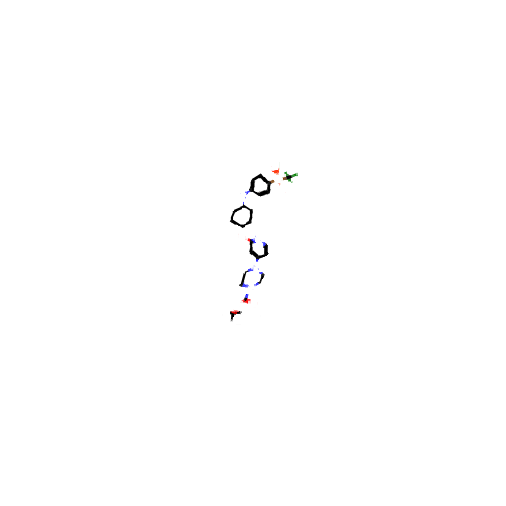 CC(C)(C)OC(=O)N1CCN(c2ccnc(O[C@H]3CC[C@H](Nc4ccc(S(=O)(=O)C(F)(F)F)cc4)CC3)c2)CC1